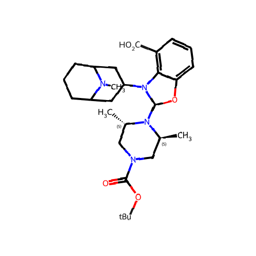 C[C@H]1CN(C(=O)OC(C)(C)C)C[C@H](C)N1C1Oc2cccc(C(=O)O)c2N1C1CC2CCCC(C1)N2C